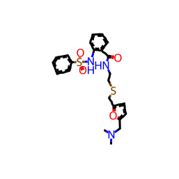 CN(C)Cc1ccc(CSCCNC(=O)c2ccccc2NS(=O)(=O)c2ccccc2)o1